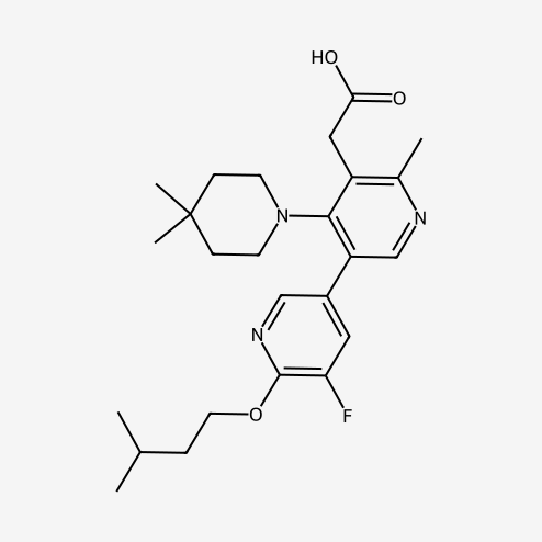 Cc1ncc(-c2cnc(OCCC(C)C)c(F)c2)c(N2CCC(C)(C)CC2)c1CC(=O)O